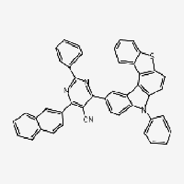 N#Cc1c(-c2ccc3ccccc3c2)nc(-c2ccccc2)nc1-c1ccc2c(c1)c1c3c(ccc1n2-c1ccccc1)sc1ccccc13